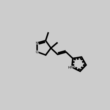 CC1=NOCC1(C)/C=C/c1ccc[nH]1